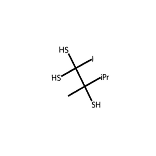 CC(C)C(C)(S)C(S)(S)I